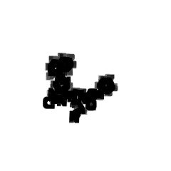 N#CC[C@H]1CN(c2nc(Cl)nc3c2CCN(c2cccc4ccccc24)C3)CCN1C(=O)OCc1ccccc1